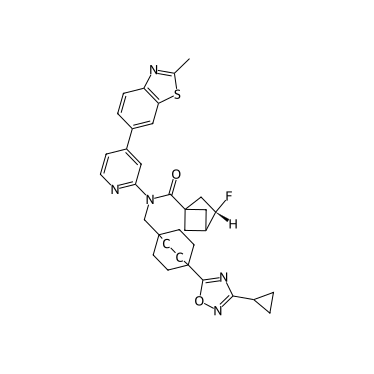 Cc1nc2ccc(-c3ccnc(N(CC45CCC(c6nc(C7CC7)no6)(CC4)CC5)C(=O)C45CC(C4)[C@@H](F)C5)c3)cc2s1